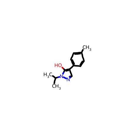 Cc1ccc(-c2cnn(C(C)C)c2O)cc1